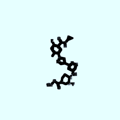 Cc1cc(F)c(C(=O)NC2CC2)cc1-n1cc(-c2cc(N[C@H]3CCN(C(=O)OC(C)(C)C)C[C@H]3F)cnn2)cn1